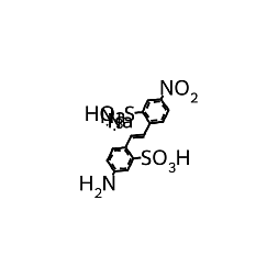 Nc1ccc(C=Cc2ccc([N+](=O)[O-])cc2S(=O)(=O)O)c(S(=O)(=O)O)c1.[Na].[Na]